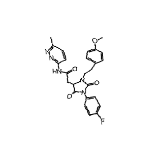 COc1ccc(CCN2C(=O)N(c3ccc(F)cc3)C(=O)C2CC(=O)Nc2ccc(C)nn2)cc1